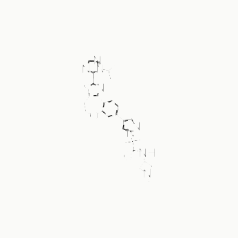 CC(C)n1ncnc1-c1nc2c(s1)CCOc1cc(-c3cnn(C(C)(C)C(=O)NC4CN(C)C4)c3)ccc1-2